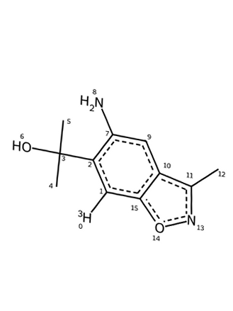 [3H]c1c(C(C)(C)O)c(N)cc2c(C)noc12